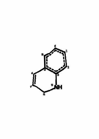 [c]1ccc2c(c1)C=CCN2